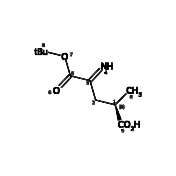 C[C@H](CC(=N)C(=O)OC(C)(C)C)C(=O)O